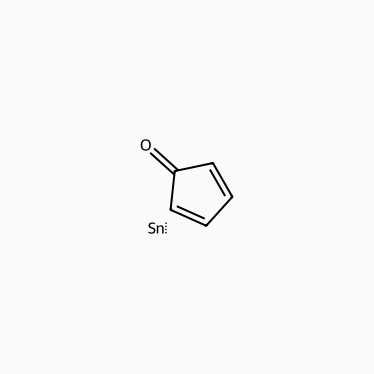 O=C1C=CC=C1.[Sn]